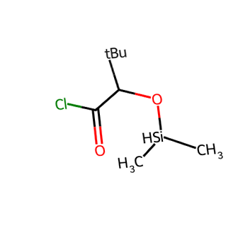 C[SiH](C)OC(C(=O)Cl)C(C)(C)C